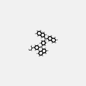 CCC(C)c1ccc(N(c2ccc(N(c3ccc4ccccc4c3)c3ccc4ccccc4c3)cc2)c2cccc3ccccc23)cc1